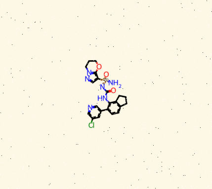 N[S@](=O)(=NC(=O)Nc1c(-c2cncc(Cl)c2)ccc2c1CCC2)c1cnn2c1OCCC2